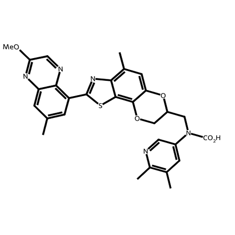 COc1cnc2c(-c3nc4c(C)cc5c(c4s3)OCC(CN(C(=O)O)c3cnc(C)c(C)c3)O5)cc(C)cc2n1